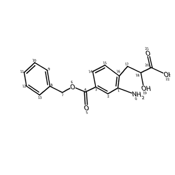 Nc1cc(C(=O)OCc2ccccc2)ccc1CC(O)C(=O)O